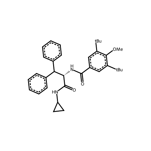 COc1c(C(C)(C)C)cc(C(=O)N[C@H](C(=O)NC2CC2)C(c2ccccc2)c2ccccc2)cc1C(C)(C)C